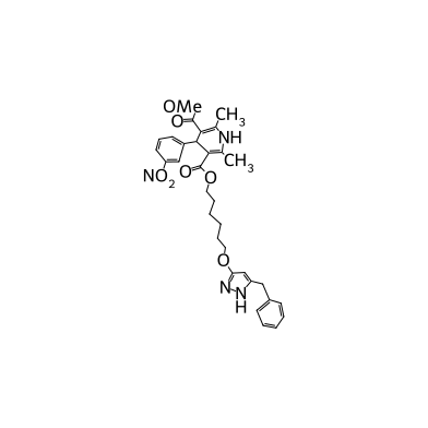 COC(=O)C1=C(C)NC(C)=C(C(=O)OCCCCCCOc2cc(Cc3ccccc3)[nH]n2)C1c1cccc([N+](=O)[O-])c1